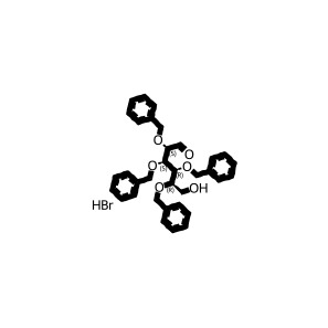 Br.O=C[C@@H](OCc1ccccc1)[C@@H](OCc1ccccc1)[C@H](OCc1ccccc1)[C@@H](CO)OCc1ccccc1